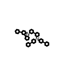 c1ccc(-c2ccc(N(c3ccc(-c4ccccc4)cc3)c3cccc(-c4cccc(-n5c6ccccc6c6cc(-c7ccccc7)ccc65)c4)c3)cc2)cc1